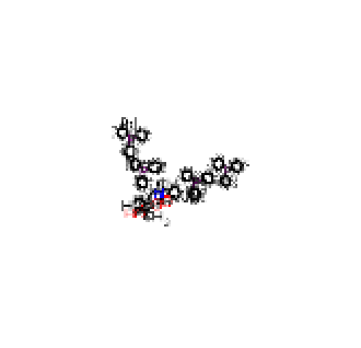 C[C@@H](c1ccc(C#N)cc1)N1CC[C@](CC(C)(C)O)(c2ccccc2)OC1=O.[Pd].c1ccc(P(c2ccccc2)c2ccccc2)cc1.c1ccc(P(c2ccccc2)c2ccccc2)cc1.c1ccc(P(c2ccccc2)c2ccccc2)cc1.c1ccc(P(c2ccccc2)c2ccccc2)cc1